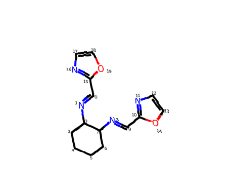 C(=N\C1CCCCC1/N=C/c1ncco1)/c1ncco1